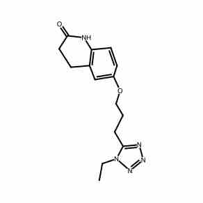 CCn1nnnc1CCCOc1ccc2c(c1)CCC(=O)N2